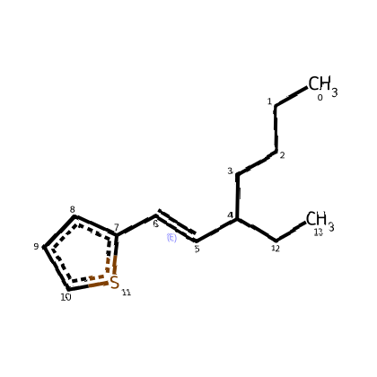 CCCCC(/C=C/c1cccs1)CC